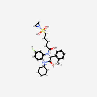 Cc1ccccc1[C@H](C(=O)NC1CCCCC1)N(C(=O)CCCCS(=O)(=O)N1CC1)c1cccc(F)c1